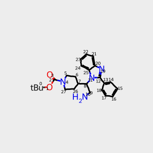 CC(C)(C)OC(=O)N1CCC(C(CN)n2c(-c3ccccc3)nc3ccccc32)CC1